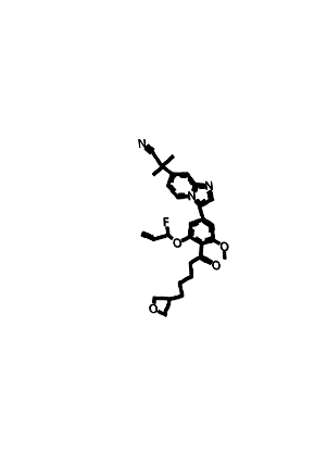 C=CC(F)Oc1cc(-c2cnc3cc(C(C)(C)C#N)ccn23)cc(OC)c1C(=O)CCCCC1COC1